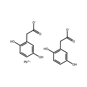 O=C([O-])Cc1cc(O)ccc1O.O=C([O-])Cc1cc(O)ccc1O.[Pb+2]